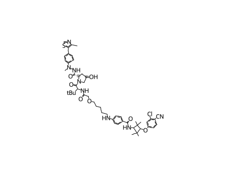 Cc1ncsc1-c1ccc(N(C)NC(=O)[C@@H]2C[C@@H](O)CN2C(=O)C(NC(=O)COCCCCCNc2ccc(C(=O)NC3C(C)(C)C(Oc4ccc(C#N)c(Cl)c4)C3(C)C)cc2)C(C)(C)C)cc1